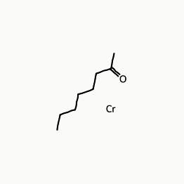 CCCCCCC(C)=O.[Cr]